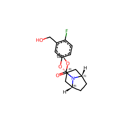 CC(C)(C)OC(=O)N1[C@@H]2CC[C@H]1C[C@@H](Oc1ccc(F)c(CO)c1)C2